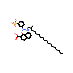 CCCCCCCCCCCCCCCCC(C)CNN(Oc1c(C(=O)O)ccc2ccccc12)c1cccc(S(=O)(=O)O)c1